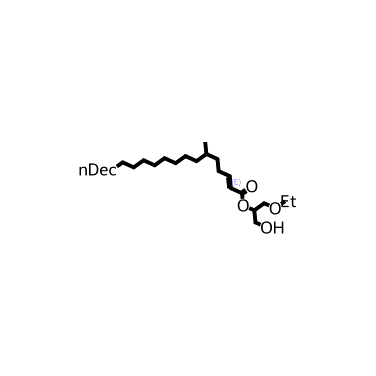 CCCCCCCCCCCCCCCCCCC(C)CC/C=C/C(=O)OC(CO)COCC